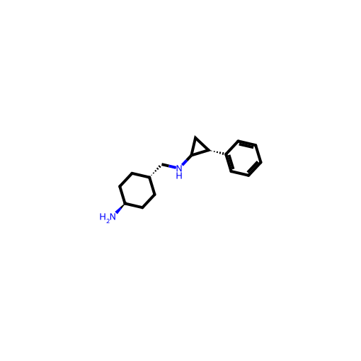 N[C@H]1CC[C@H](CNC2C[C@@H]2c2ccccc2)CC1